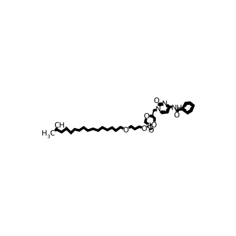 CC(C)CCCCCCCCCCCCCCOCCCOP1(=O)CO[C@@H](Cn2ccc(NC(=O)c3ccccc3)nc2=O)CO1